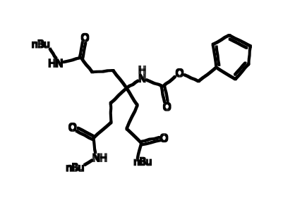 CCCCNC(=O)CCC(CCC(=O)CCCC)(CCC(=O)NCCCC)NC(=O)OCc1ccccc1